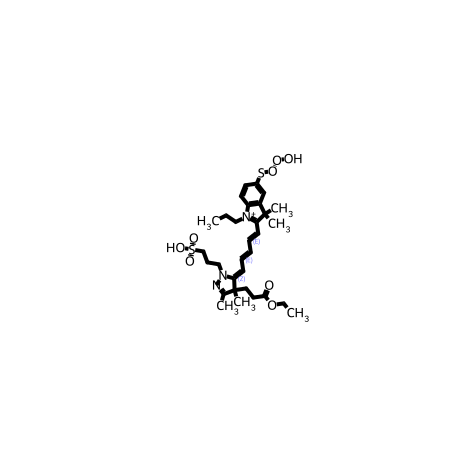 CCC[N+]1=C(/C=C/C=C/C=C2\N(CCCS(=O)(=O)O)N=C(C)C2(C)CCC(=O)OCC)C(C)(C)c2cc(SOOO)ccc21